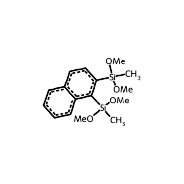 CO[Si](C)(OC)c1ccc2ccccc2c1[Si](C)(OC)OC